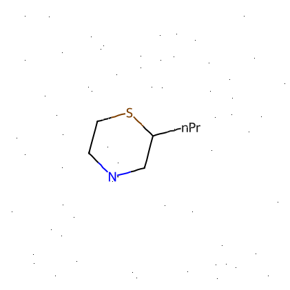 CCCC1C[N]CCS1